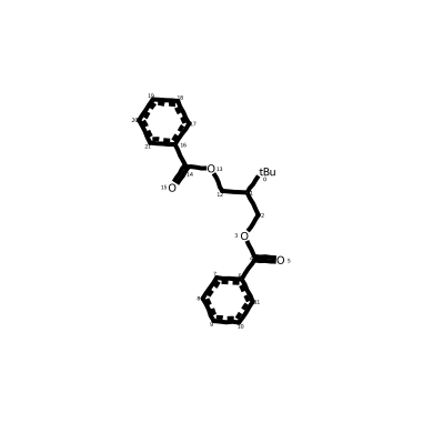 CC(C)(C)C(COC(=O)c1ccccc1)COC(=O)c1ccccc1